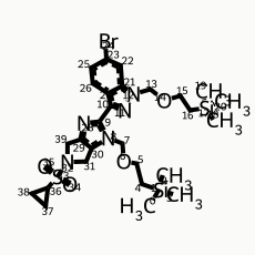 C[Si](C)(C)CCOCn1c(-c2nn(COCC[Si](C)(C)C)c3cc(Br)ccc23)nc2c1CN(S(=O)(=O)C1CC1)C2